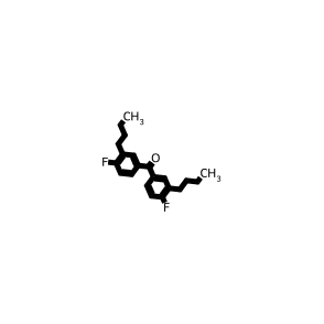 CCCCc1cc(C(=O)c2ccc(F)c(CCCC)c2)ccc1F